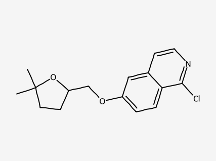 CC1(C)CCC(COc2ccc3c(Cl)nccc3c2)O1